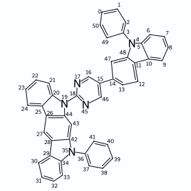 c1ccc(-n2c3ccccc3c3ccc(-c4cnc(-n5c6ccccc6c6cc7c8ccccc8n(-c8ccccc8)c7cc65)nc4)cc32)cc1